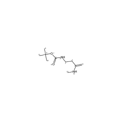 C=C(CCNC(=O)OC(C)(C)C)NC